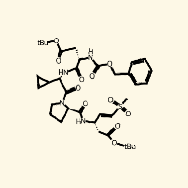 CC(C)(C)OC(=O)C[C@@H](/C=C/S(C)(=O)=O)NC(=O)[C@H]1CCCN1C(=O)[C@@H](NC(=O)[C@H](CC(=O)OC(C)(C)C)NC(=O)OCc1ccccc1)C1CC1